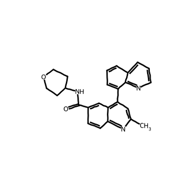 Cc1cc(-c2cccc3cccnc23)c2cc(C(=O)NC3CCOCC3)ccc2n1